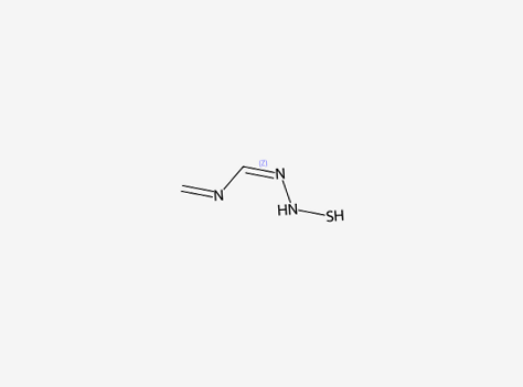 C=N/C=N\NS